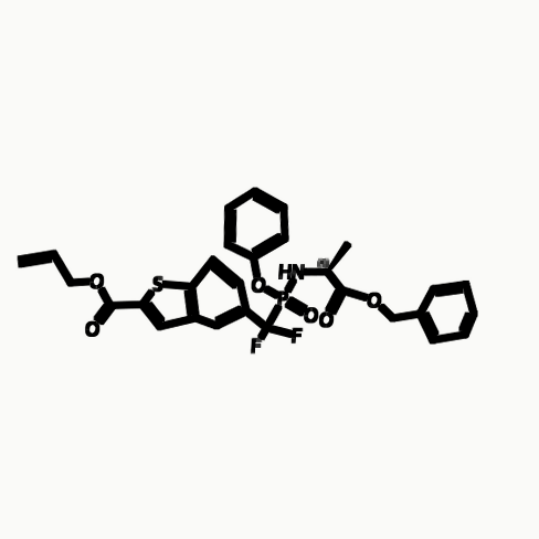 C=CCOC(=O)c1cc2cc(C(F)(F)P(=O)(N[C@@H](C)C(=O)OCc3ccccc3)Oc3ccccc3)ccc2s1